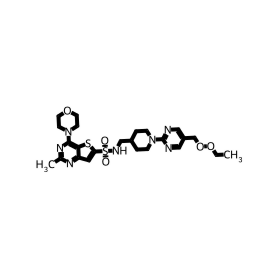 CCOOCc1cnc(N2CCC(CNS(=O)(=O)c3cc4nc(C)nc(N5CCOCC5)c4s3)CC2)nc1